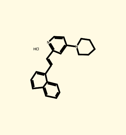 C(=Cc1cccc2ccccc12)c1cc(N2CCCCC2)ccn1.Cl